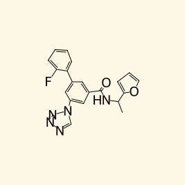 CC(NC(=O)c1cc(-c2ccccc2F)cc(-n2cnnn2)c1)c1ccco1